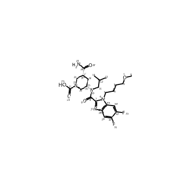 COCCCCn1c(C(=O)N(CC(C)C)[C@H]2C[C@@H](C(N)=O)CN(C(=O)O)C2)nc2cc(F)c(F)cc21